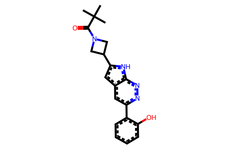 CC(C)(C)C(=O)N1CC(c2cc3cc(-c4ccccc4O)nnc3[nH]2)C1